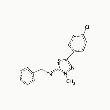 Cn1nc(-c2ccc(Cl)cc2)sc1=NCc1ccccc1